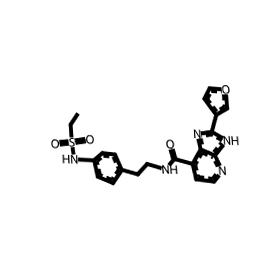 CCS(=O)(=O)Nc1ccc(CCNC(=O)c2ccnc3[nH]c(-c4ccoc4)nc23)cc1